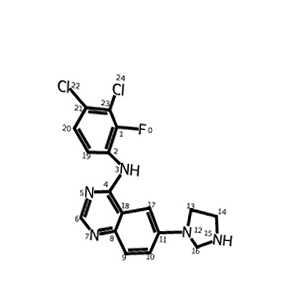 Fc1c(Nc2ncnc3ccc(N4CCNC4)cc23)ccc(Cl)c1Cl